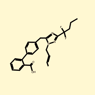 CC=CCn1nc(C(F)(F)CCC)nc1Cc1ccc(-c2ccccc2C(=O)O)cc1